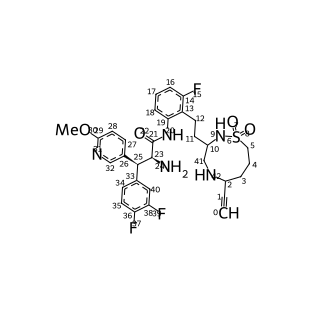 C#CC1CCCS(=O)(=O)NC(CCc2c(F)cccc2NC(=O)[C@@H](N)[C@H](c2ccc(OC)nc2)c2ccc(F)c(F)c2)CN1